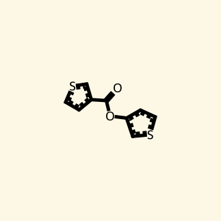 O=C(Oc1ccsc1)c1ccsc1